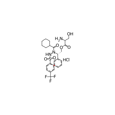 Cl.NC(CO)C(=O)OC[C@H](c1ccccc1)N(NS(=O)(=O)c1ccc(C(F)(F)F)cc1)C(=O)C1CCCCC1